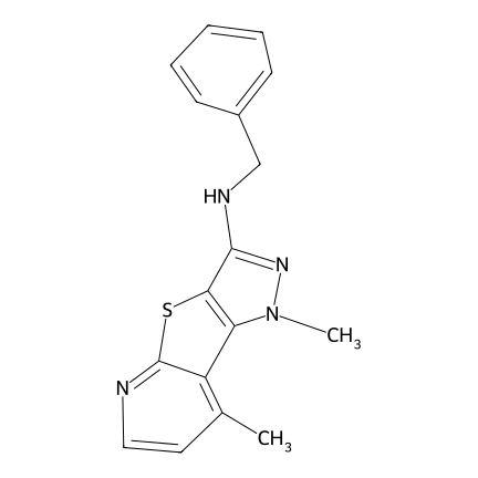 Cc1ccnc2sc3c(NCc4ccccc4)nn(C)c3c12